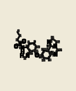 CCCS(=O)(=O)Nc1cccc(Oc2ccc3c(c2)C2=NCCN2C=N3)c1N